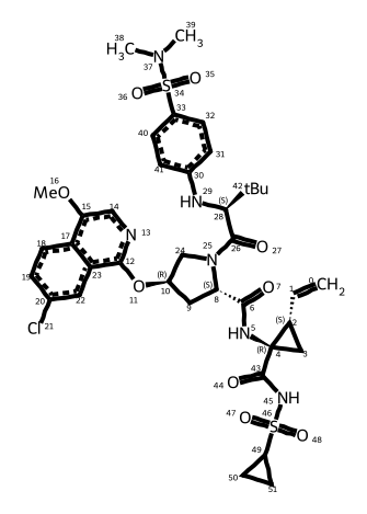 C=C[C@@H]1C[C@]1(NC(=O)[C@@H]1C[C@@H](Oc2ncc(OC)c3ccc(Cl)cc23)CN1C(=O)[C@@H](Nc1ccc(S(=O)(=O)N(C)C)cc1)C(C)(C)C)C(=O)NS(=O)(=O)C1CC1